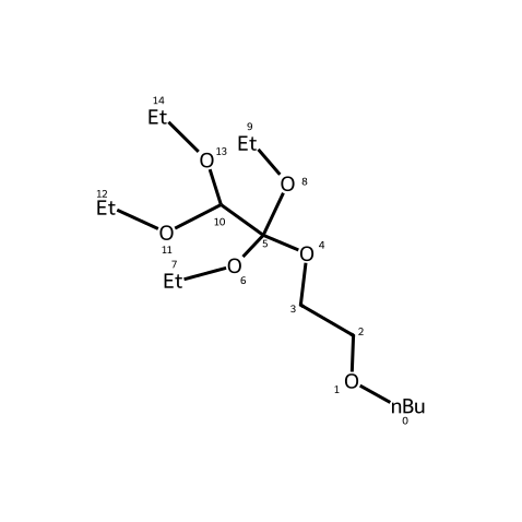 CCCCOCCOC(OCC)(OCC)C(OCC)OCC